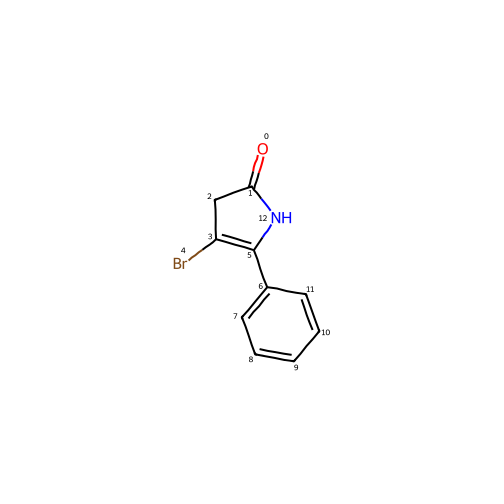 O=C1CC(Br)=C(c2ccccc2)N1